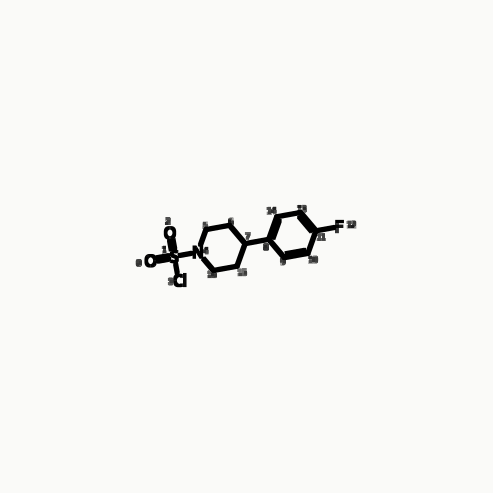 O=S(=O)(Cl)N1CCC(c2ccc(F)cc2)CC1